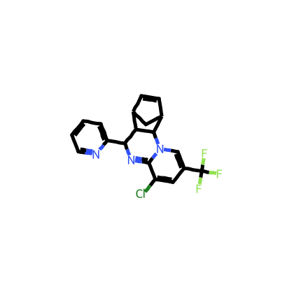 FC(F)(F)C1=CN2C(=NC(c3ccccn3)C3C4C=CC(C4)C32)C(Cl)=C1